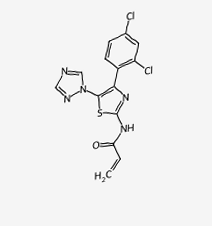 C=CC(=O)Nc1nc(-c2ccc(Cl)cc2Cl)c(-n2cncn2)s1